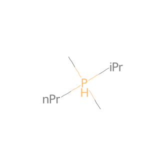 CCC[PH](C)(C)C(C)C